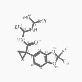 CCCC(NC(CC)NC(=O)C1(c2ccc3c(c2)OC(F)(F)O3)CC1)C(C)(C)C